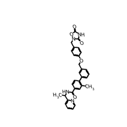 Cc1cc(C(=O)NC(C)c2ccccn2)ccc1-c1cccc(COc2ccc(Cn3oc(=O)[nH]c3=O)cc2)c1